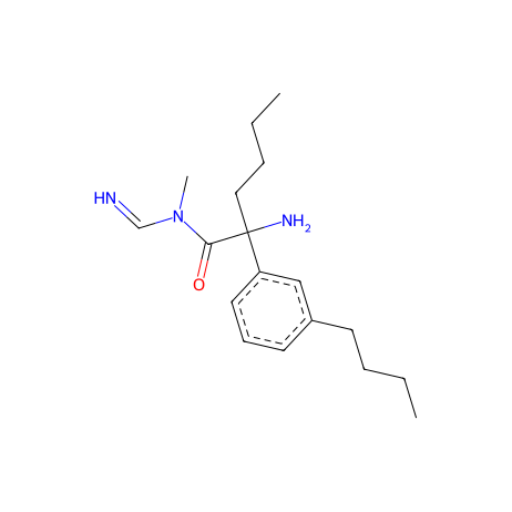 CCCCc1cccc(C(N)(CCCC)C(=O)N(C)C=N)c1